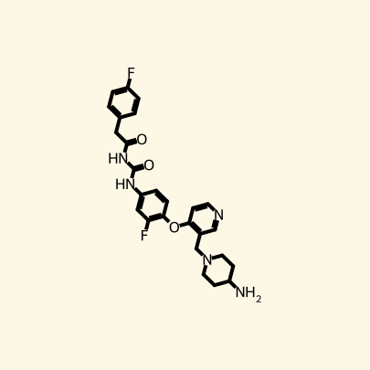 NC1CCN(Cc2cnccc2Oc2ccc(NC(=O)NC(=O)Cc3ccc(F)cc3)cc2F)CC1